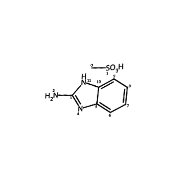 CS(=O)(=O)O.Nc1nc2ccccc2[nH]1